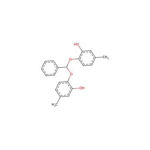 Cc1ccc(OC(Oc2ccc(C)cc2O)c2ccccc2)c(O)c1